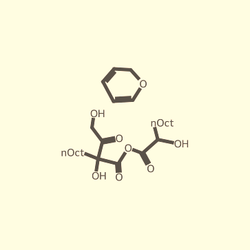 C1=CCOC=C1.CCCCCCCCC(O)C(=O)OC(=O)C(O)(CCCCCCCC)C(=O)CO